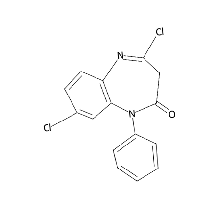 O=C1CC(Cl)=Nc2ccc(Cl)cc2N1c1ccccc1